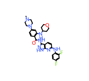 CN1CCN(c2ccc(C(=O)Nc3n[nH]c4nc(Nc5ccc(F)cc5F)ccc34)c(NC3CCOCC3)c2)CC1